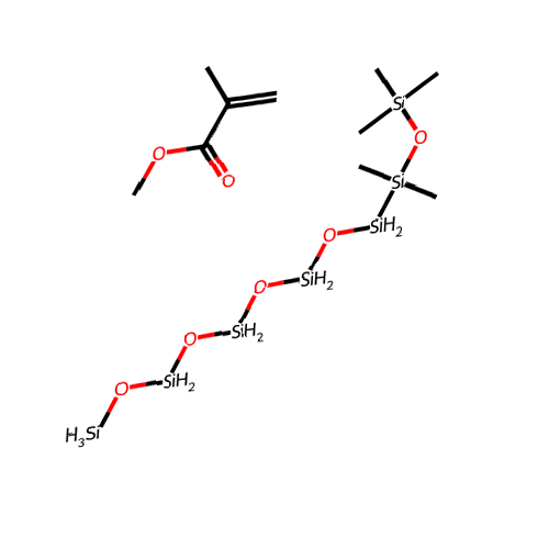 C=C(C)C(=O)OC.C[Si](C)(C)O[Si](C)(C)[SiH2]O[SiH2]O[SiH2]O[SiH2]O[SiH3]